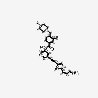 CN1CCN(Cc2ccc(C(=O)Nc3cncc(C#Cc4cnc(/C=C\C=N)n4C)c3)cc2F)CC1